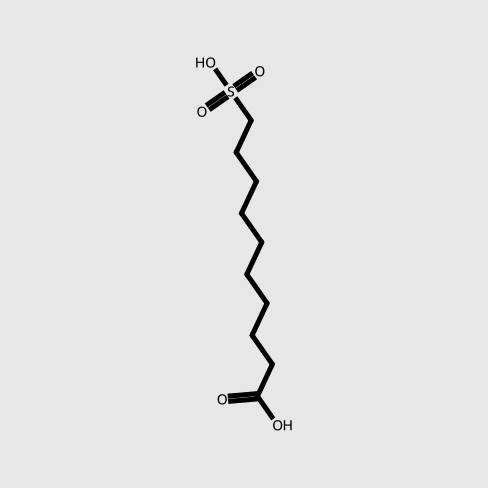 O=C(O)CCCCCCCCCS(=O)(=O)O